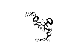 COC(=O)c1csc(NC(=O)C(N2C(=O)NC(c3ccc(OC)cc3)C2=O)C(C)(C)c2ccccc2)n1